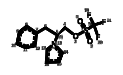 O=S(=O)(OC[C@H](Cc1ccccc1)n1cccc1)C(F)(F)F